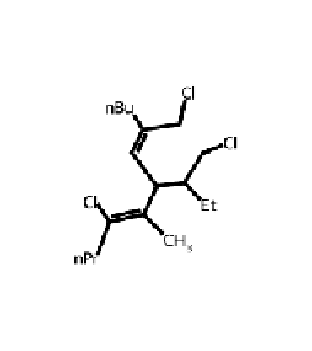 CCCCC(=CC(C(C)=C(Cl)CCC)C(CC)CCl)CCl